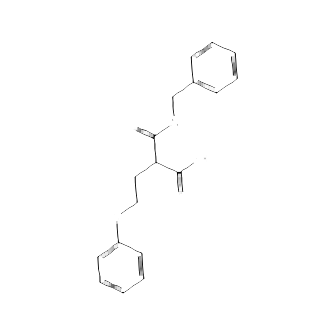 O=C(O)C(CCSc1ccccc1)C(=O)NCc1ccccc1